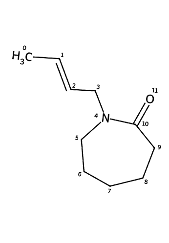 CC=CCN1CCCCCC1=O